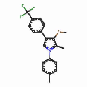 CSc1c(-c2ccc(C(F)(F)F)cc2)cn(-c2ccc(C)cc2)c1C